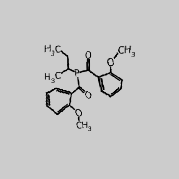 CCC(C)P(C(=O)c1ccccc1OC)C(=O)c1ccccc1OC